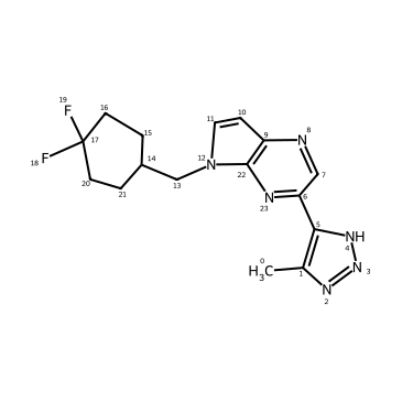 Cc1nn[nH]c1-c1cnc2ccn(CC3CCC(F)(F)CC3)c2n1